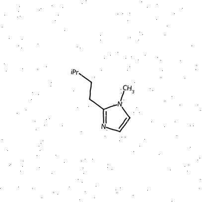 CC(C)CCc1nccn1C